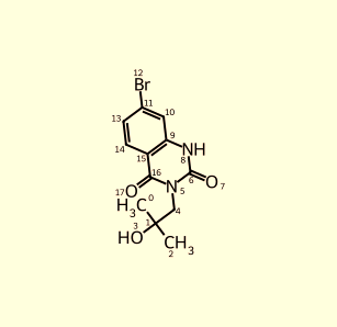 CC(C)(O)Cn1c(=O)[nH]c2cc(Br)ccc2c1=O